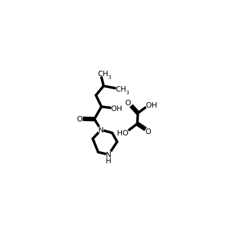 CC(C)CC(O)C(=O)N1CCNCC1.O=C(O)C(=O)O